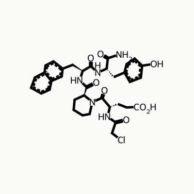 NC(=O)[C@H](Cc1ccc(O)cc1)NC(=O)[C@H](Cc1ccc2ccccc2c1)NC(=O)[C@@H]1CCCCN1C(=O)[C@H](CCC(=O)O)NC(=O)CCl